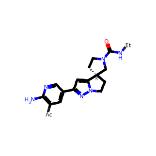 CCNC(=O)N1CC[C@@]2(CCn3nc(-c4cnc(N)c(C(C)=O)c4)cc32)C1